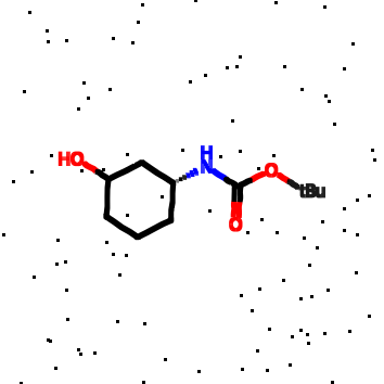 CC(C)(C)OC(=O)N[C@@H]1CCCC(O)C1